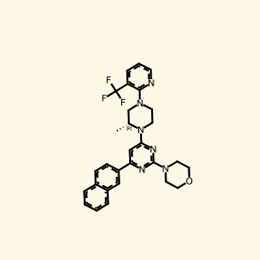 C[C@@H]1CN(c2ncccc2C(F)(F)F)CCN1c1cc(-c2ccc3ccccc3c2)nc(N2CCOCC2)n1